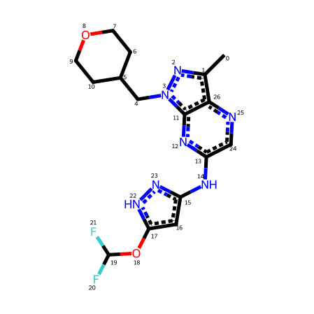 Cc1nn(CC2CCOCC2)c2nc(Nc3cc(OC(F)F)[nH]n3)cnc12